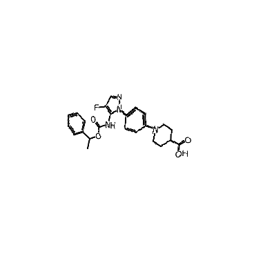 CC(OC(=O)Nc1c(F)cnn1-c1ccc(N2CCC(C(=O)O)CC2)cc1)c1ccccc1